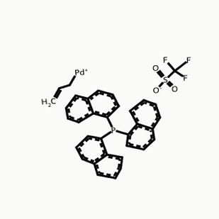 C=C[CH2][Pd+].O=S(=O)([O-])C(F)(F)F.c1ccc2c(P(c3cccc4ccccc34)c3cccc4ccccc34)cccc2c1